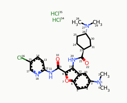 CN(C)c1ccc2oc(C(=O)Nc3ccc(Cl)cn3)c(NC(=O)[C@H]3CC[C@H](N(C)C)CC3)c2c1.Cl.Cl